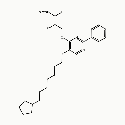 CCCCCC(F)C(F)COc1nc(-c2ccccc2)ncc1OCCCCCCCC1CCCC1